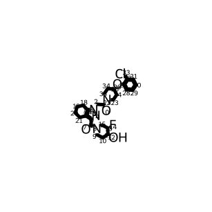 O=C(Cn1nc(C(=O)N2CC[C@H](O)[C@H](F)C2)c2c1CCCC2)N1CCC(Oc2ccccc2Cl)CC1